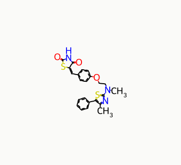 Cc1nc(N(C)CCOc2ccc(C=C3SC(=O)NC3=O)cc2)sc1-c1ccccc1